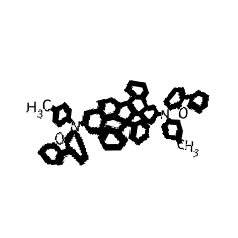 Cc1ccc(N(c2ccc3c4c(ccc3c2)-c2c(c3ccc(N(c5ccc(C)cc5)c5cccc6c5oc5ccccc56)cc3c3ccccc23)C4(c2ccccc2)c2ccccc2)c2cccc3c2oc2ccccc23)cc1